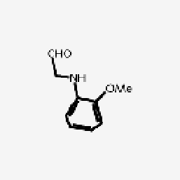 COc1ccccc1NCC=O